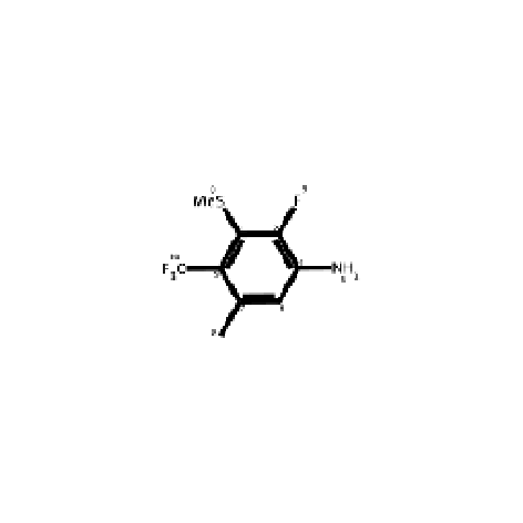 CSc1c(F)c(N)cc(C)c1C(F)(F)F